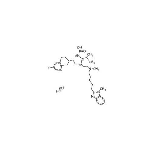 CC(C)[C@H](NC(=O)O)[C@@H](CCC1CCc2cc(F)ccc2C1)CCN(C)CCCCCc1nc2ccccc2n1C.Cl.Cl